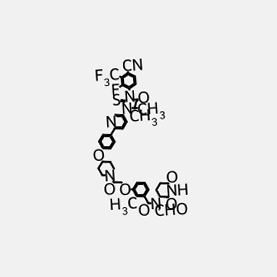 Cc1c(OCC(=O)N2CCC(Oc3ccc(-c4ccc(N5C(=S)N(c6ccc(C#N)c(C(F)(F)F)c6F)C(=O)C5(C)C)cn4)cc3)CC2)cccc1C(=O)N(C=O)C1CCC(=O)NC1=O